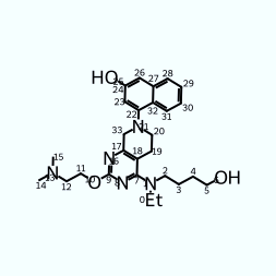 CCN(CCCCO)c1nc(OCCN(C)C)nc2c1CCN(c1cc(O)cc3ccccc13)C2